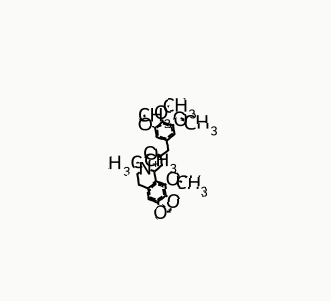 COc1cc(CC(=O)CC2c3c(cc4c(c3OC)OCO4)CC[N+]2(C)C)cc(OC)c1OC